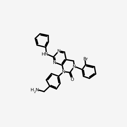 NCc1ccc(N2C(=O)N(c3ccccc3Br)Cc3cnc(Nc4ccccc4)nc32)cc1